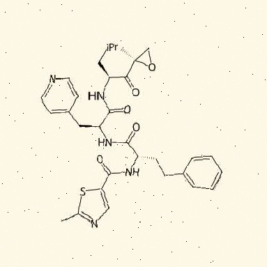 Cc1ncc(C(=O)N[C@@H](CCc2ccccc2)C(=O)N[C@@H](Cc2ccncc2)C(=O)N[C@@H](CC(C)C)C(=O)[C@@]2(C)CO2)s1